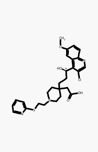 COc1ccc2ncc(Cl)c([C@H](O)CCC3(CC(=O)O)CCN(CCSc4ccccn4)CC3)c2c1